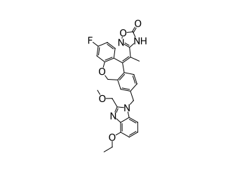 CCOc1cccc2c1nc(COC)n2Cc1ccc2c(c1)COc1cc(F)ccc1C2=C(C)c1noc(=O)[nH]1